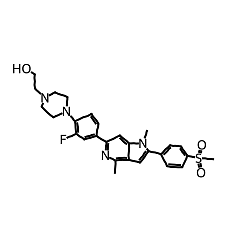 Cc1nc(-c2ccc(N3CCN(CCO)CC3)c(F)c2)cc2c1cc(-c1ccc(S(C)(=O)=O)cc1)n2C